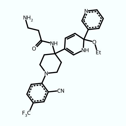 CCOC1(c2cccnc2)C=CC(C2(NC(=O)CCN)CCN(c3ccc(C(F)(F)F)cc3C#N)CC2)=CN1